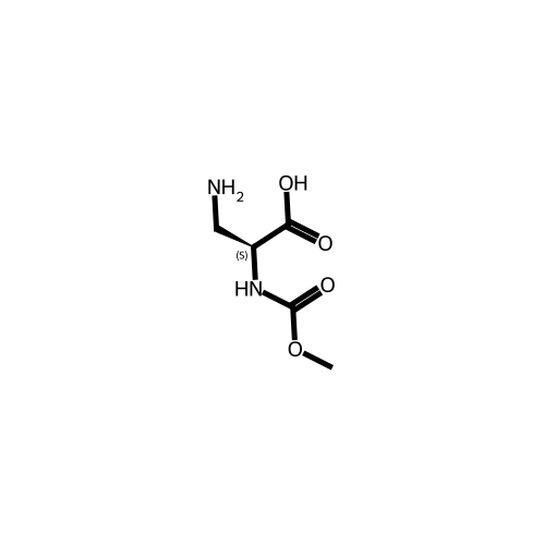 COC(=O)N[C@@H](CN)C(=O)O